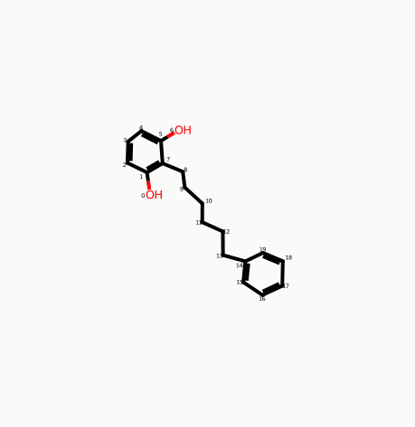 Oc1cccc(O)c1CCCCCCc1ccccc1